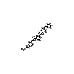 Nc1nc2ccc(CNC(=O)c3cccc(C(=O)NC4CCN(Cc5ccccc5)CC4)n3)cc2s1